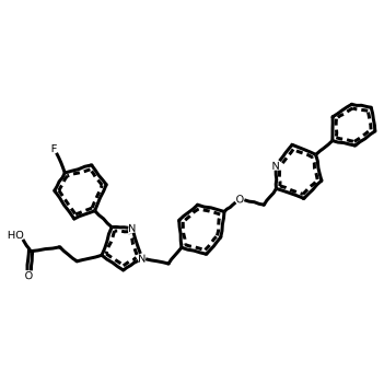 O=C(O)CCc1cn(Cc2ccc(OCc3ccc(-c4ccccc4)cn3)cc2)nc1-c1ccc(F)cc1